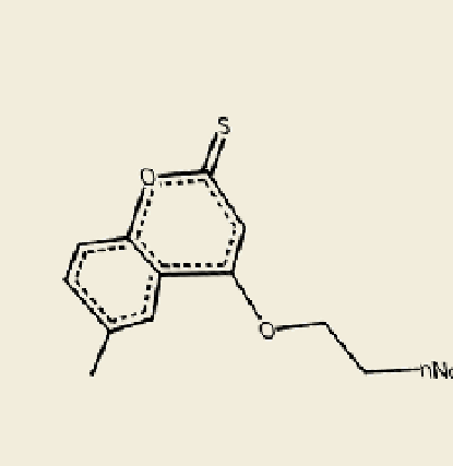 CCCCCCCCCCCOc1cc(=S)oc2ccc(C)cc12